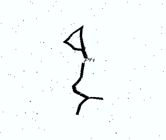 CC(C)CPC1CC1